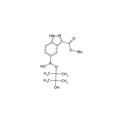 CC(C)(C)OC(=O)c1n[nH]c2ccc(B(O)OC(C)(C)C(C)(C)O)cc12